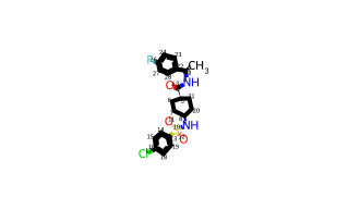 C[C@@H](NC(=O)[C@H]1CC[C@H](NS(=O)(=O)c2ccc(Cl)cc2)CC1)c1ccc(F)cc1